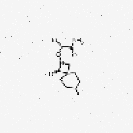 CCC(ON1CC2(CCC(C)CC2)C1=O)C(N)=O